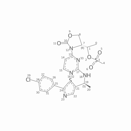 CC(OS(C)(=O)=O)[C@H]1COC(=O)N1c1ccnc(N[C@@H](C)c2cnc(-c3ccc(Cl)cc3)s2)n1